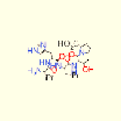 CC(C)C[C@H](NC(=O)[C@H](Cc1c[nH]cn1)NC(=O)[C@@H](N)C(C)C)C(=O)N[C@H](C(=O)N1CCC[C@H]1C(=O)O)[C@@H](C)O